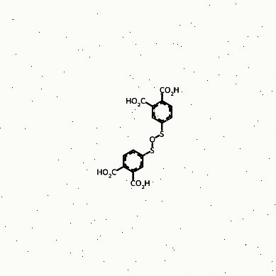 O=C(O)c1ccc(SOSc2ccc(C(=O)O)c(C(=O)O)c2)cc1C(=O)O